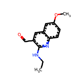 CCNc1nc2ccc(OC)cc2cc1C=O